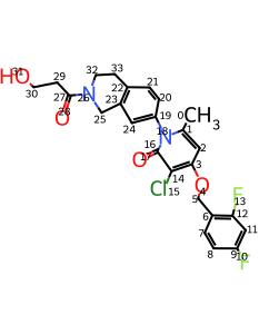 Cc1cc(OCc2ccc(F)cc2F)c(Cl)c(=O)n1-c1ccc2c(c1)CN(C(=O)CCO)CC2